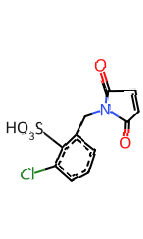 O=C1C=CC(=O)N1Cc1cccc(Cl)c1S(=O)(=O)O